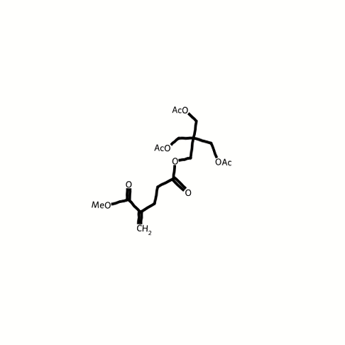 C=C(CCC(=O)OCC(COC(C)=O)(COC(C)=O)COC(C)=O)C(=O)OC